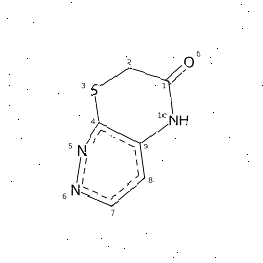 O=C1CSc2nnccc2N1